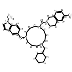 Cn1ccc2cc(SN3CCCN(CC4CCCCC4)CCCN(SN4CCc5cc(Cl)ccc5C4)CCC3)ccc21